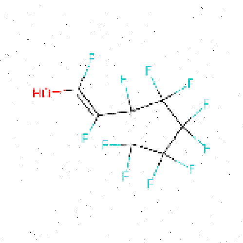 OC(F)=C(F)C1(F)C(F)(F)C(F)(F)C(F)(F)C1(F)F